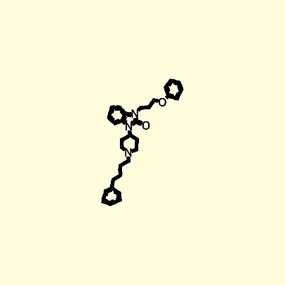 O=c1n(CCCOc2ccccc2)c2ccccc2n1C1CCN(CCCCc2ccccc2)CC1